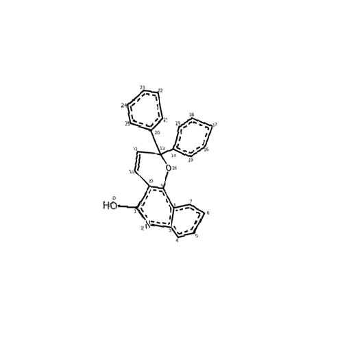 Oc1nc2ccccc2c2c1C=CC(c1ccccc1)(c1ccccc1)O2